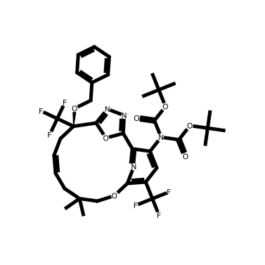 CC1(C)CC=CC[C@](OCc2ccccc2)(C(F)(F)F)c2nnc(o2)-c2nc(c(C(F)(F)F)cc2N(C(=O)OC(C)(C)C)C(=O)OC(C)(C)C)OC1